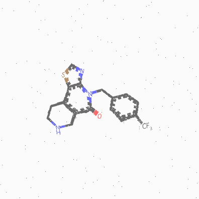 O=c1c2c(c3scnc3n1Cc1ccc(C(F)(F)F)cc1)CCNC2